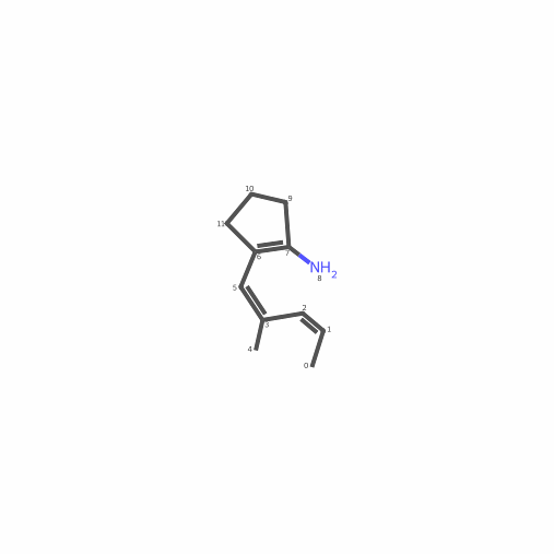 C/C=C\C(C)=C/C1=C(N)CCC1